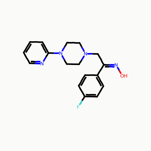 O/N=C(/CN1CCN(c2ccccn2)CC1)c1ccc(F)cc1